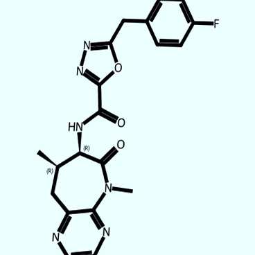 C[C@@H]1Cc2nccnc2N(C)C(=O)[C@@H]1NC(=O)c1nnc(Cc2ccc(F)cc2)o1